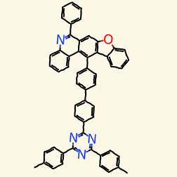 Cc1ccc(-c2nc(-c3ccc(C)cc3)nc(-c3ccc(-c4ccc(-c5c6c(cc7c(-c8ccccc8)nc8ccccc8c57)oc5ccccc56)cc4)cc3)n2)cc1